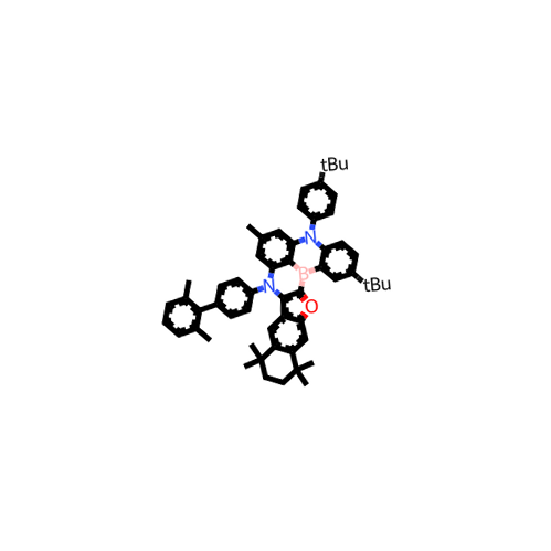 Cc1cc2c3c(c1)N(c1ccc(-c4c(C)cccc4C)cc1)c1c(oc4cc5c(cc14)C(C)(C)CCC5(C)C)B3c1cc(C(C)(C)C)ccc1N2c1ccc(C(C)(C)C)cc1